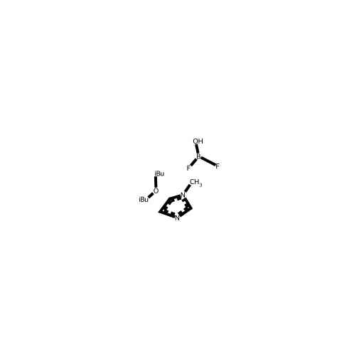 CCC(C)OC(C)CC.Cn1ccnc1.OB(F)F